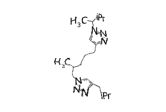 CC(C)Cc1cn(CC(C)CCCc2cn(C(C)C(C)C)nn2)nn1